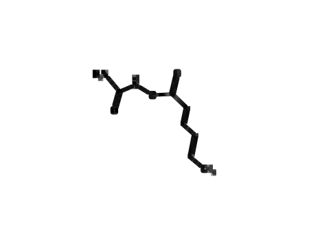 C/C=C/C=C/C(=O)ONC(N)=O